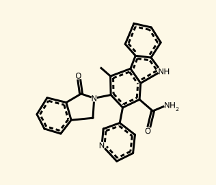 Cc1c(N2Cc3ccccc3C2=O)c(-c2cccnc2)c(C(N)=O)c2[nH]c3ccccc3c12